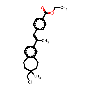 CCOC(=O)c1ccc(/C=C(\C)c2ccc3c(c2)CCC(C)(CC)CC3)cc1